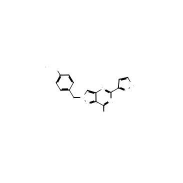 COc1ccc(Cn2cc3nc(-c4cc[nH]n4)nc(Cl)c3n2)cc1